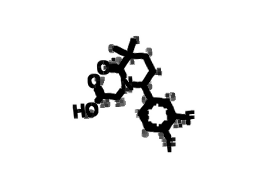 CC1(C)CCC(c2ccc(F)c(F)c2)N(CC(=O)O)C1=O